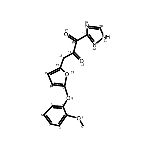 COc1ccccc1Oc1ccc(CC(=O)C(=O)c2nc[nH]n2)o1